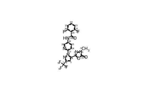 Cn1nc(-c2cc(C(F)(F)F)nn2-c2ccc(NC(=O)c3c(F)cccc3F)cn2)oc1=O